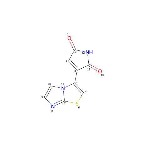 O=C1C=C(c2csc3nccn23)C(=O)N1